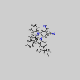 CC(C)(C)c1ccc2c(c1)c1c3ccccc3ccc1n2-c1cc(C#N)c(C=N)cc1-n1c2ccccc2c2ccccc21